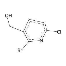 OCc1ccc(Cl)nc1Br